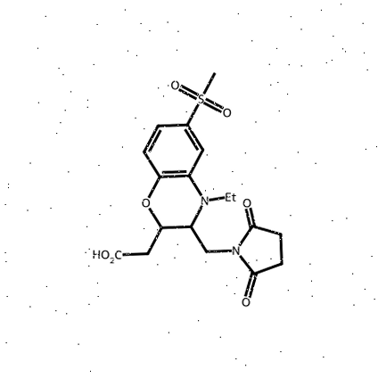 CCN1c2cc(S(C)(=O)=O)ccc2OC(CC(=O)O)C1CN1C(=O)CCC1=O